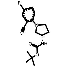 CC(C)(C)OC(=O)N[C@H]1CCN(c2ccc(F)cc2C#N)C1